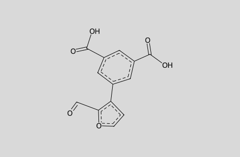 O=Cc1occc1-c1cc(C(=O)O)cc(C(=O)O)c1